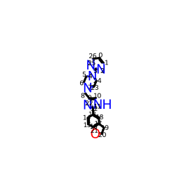 c1cnc(N2CCN(Cc3c[nH]c(-c4ccc5c(c4)CCO5)n3)CC2)nc1